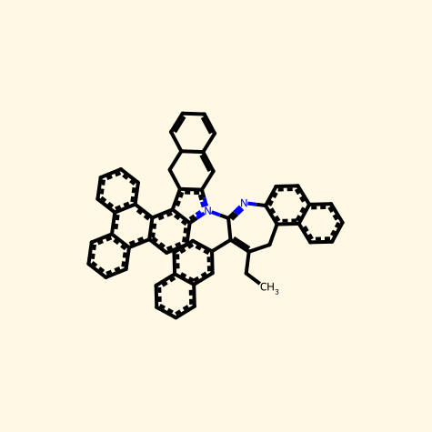 CCC1=C(c2ccc3ccccc3c2)C(n2c3c(c4c5c6ccccc6c6ccccc6c5ccc42)CC2C=CC=CC2=C3)=Nc2ccc3ccccc3c2C1